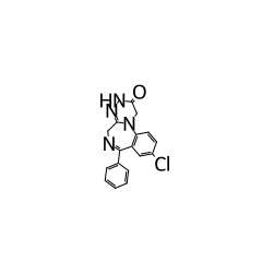 O=C1CN2C(=NN1)CN=C(c1ccccc1)c1cc(Cl)ccc12